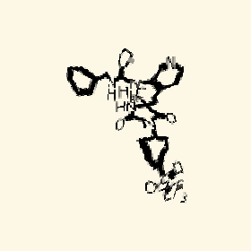 CC1(Cc2ccncc2NC(=O)NCc2ccccc2)NC(=O)N(c2ccc(S(=O)(=O)C(F)(F)F)cc2)C1=O